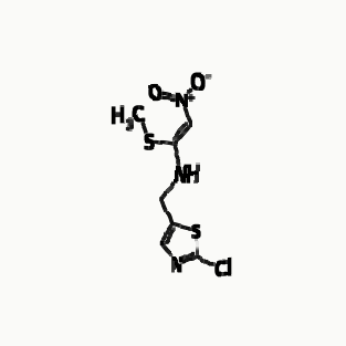 CS/C(=C\[N+](=O)[O-])NCc1cnc(Cl)s1